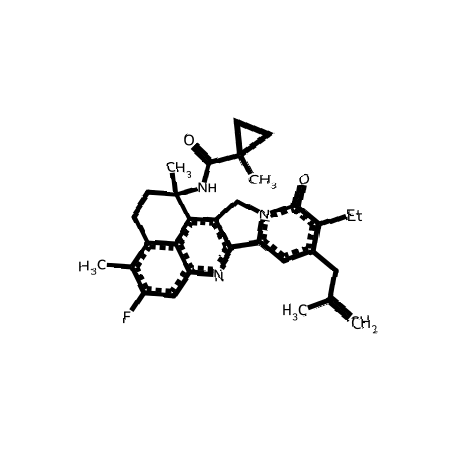 C=C(C)Cc1cc2n(c(=O)c1CC)Cc1c-2nc2cc(F)c(C)c3c2c1C(C)(NC(=O)C1(C)CC1)CC3